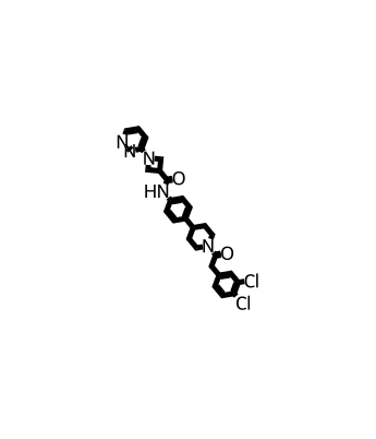 O=C(Nc1ccc(C2CCN(C(=O)Cc3ccc(Cl)c(Cl)c3)CC2)cc1)C1CN(c2cccnn2)C1